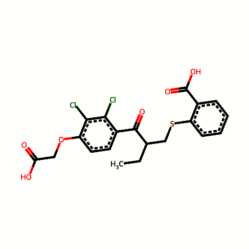 CCC(CSc1ccccc1C(=O)O)C(=O)c1ccc(OCC(=O)O)c(Cl)c1Cl